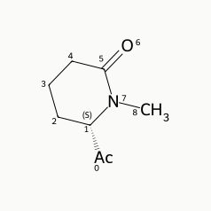 CC(=O)[C@@H]1CCCC(=O)N1C